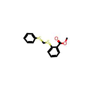 COC(=O)c1ccccc1SCSc1ccccc1